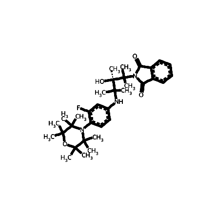 CC1(C)OC(C)(C)C(C)(C)N(c2ccc(NC(C)(C)[C@@](C)(O)C(C)(C)N3C(=O)c4ccccc4C3=O)cc2F)C1(C)C